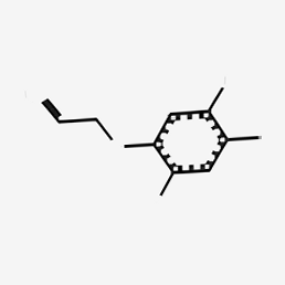 C=CCOc1[c]c(F)c(F)cc1F